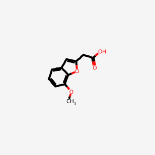 COc1cccc2cc(CC(=O)O)oc12